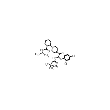 CC(C)NC(=O)C1CCCCC1N1CCN(C(=O)C(Cc2ccc(Cl)cc2Cl)NC(=O)OC(C)(C)C)CC1